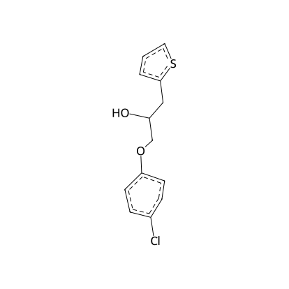 OC(COc1ccc(Cl)cc1)Cc1cccs1